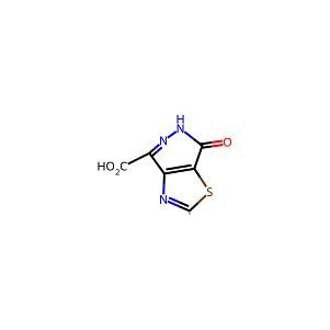 O=C(O)c1n[nH]c(=O)c2s[c]nc12